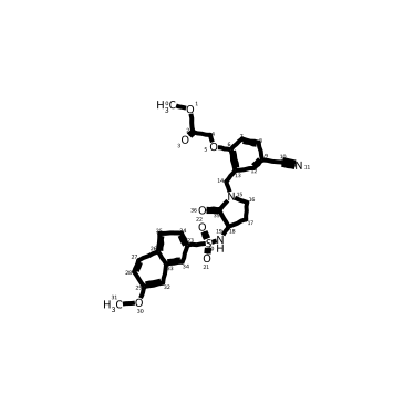 COC(=O)COc1ccc(C#N)cc1CN1CCC(NS(=O)(=O)c2ccc3ccc(OC)cc3c2)C1=O